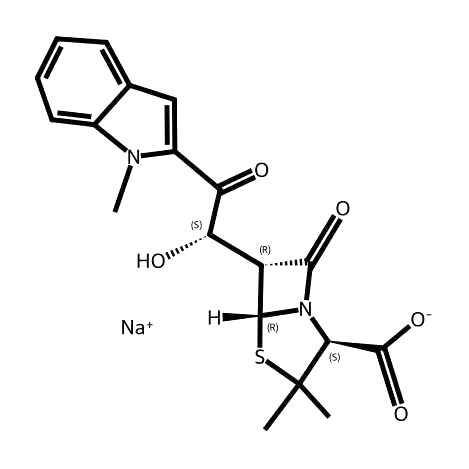 Cn1c(C(=O)[C@@H](O)[C@@H]2C(=O)N3[C@@H]2SC(C)(C)[C@@H]3C(=O)[O-])cc2ccccc21.[Na+]